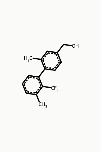 Cc1cc(CO)ccc1-c1cccc(C)c1C(F)(F)F